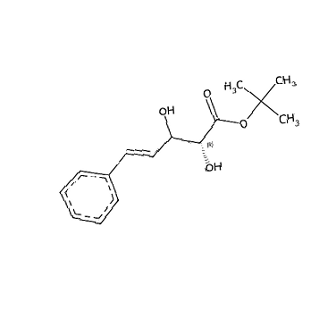 CC(C)(C)OC(=O)[C@H](O)C(O)C=Cc1ccccc1